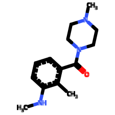 CNc1cccc(C(=O)N2CCN(C)CC2)c1C